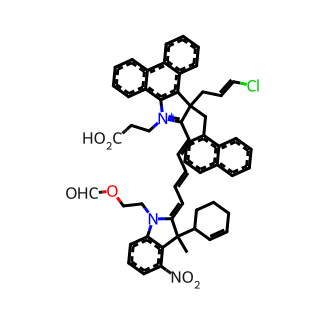 CC1(C2C=CCCC2)/C(=C/C=C/C=C/C2=[N+](CCC(=O)O)c3c(c4ccccc4c4ccccc34)C2(C/C=C/Cl)Cc2cccc3ccccc23)N(CCOC=O)c2cccc([N+](=O)[O-])c21